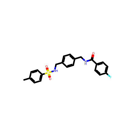 Cc1ccc(S(=O)(=O)NCc2ccc(CNC(=O)c3ccc(F)cc3)cc2)cc1